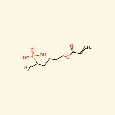 C=CC(=O)OCCCCC(C)P(=O)(O)O